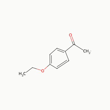 [CH2]C(=O)c1ccc(OCC)cc1